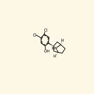 Oc1cc(Cl)c(Cl)cc1[C@H]1C[C@H]2CC[C@@H](C1)N2